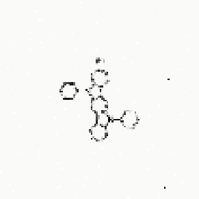 CC(C)c1ccc2c3cc4c(cc3n(-c3ccccc3)c2c1)c1ccccc1n4-c1ccccc1